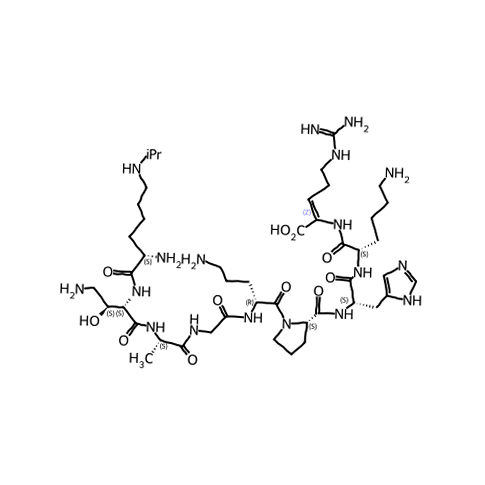 CC(C)NCCCC[C@H](N)C(=O)N[C@H](C(=O)N[C@@H](C)C(=O)NCC(=O)N[C@H](CCCN)C(=O)N1CCC[C@H]1C(=O)N[C@@H](Cc1cnc[nH]1)C(=O)N[C@@H](CCCCN)C(=O)N/C(=C\CCNC(=N)N)C(=O)O)[C@@H](O)CN